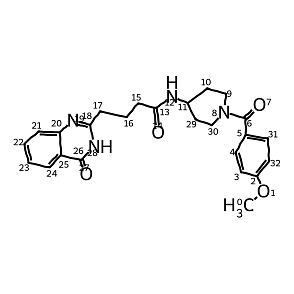 COc1ccc(C(=O)N2CCC(NC(=O)CCCc3nc4ccccc4c(=O)[nH]3)CC2)cc1